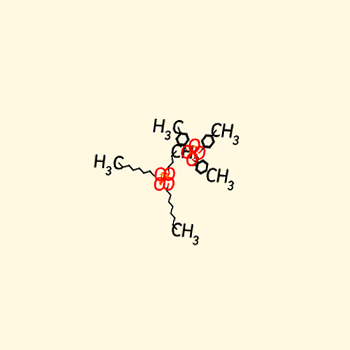 CCCCCCCCOP(=O)(OCCCC)OCCCCCCCC.Cc1ccc(OP(=O)(Oc2ccc(C)cc2)Oc2ccc(C)cc2)cc1